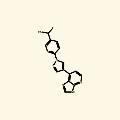 OC(c1ccc(-n2cc(-c3ccnc4[nH]cnc34)cn2)nc1)C(F)(F)F